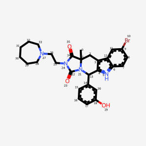 CC12Cc3c([nH]c4ccc(Br)cc34)C(c3cccc(O)c3)N1C(=O)N(CCN1CCCCCC1)C2=O